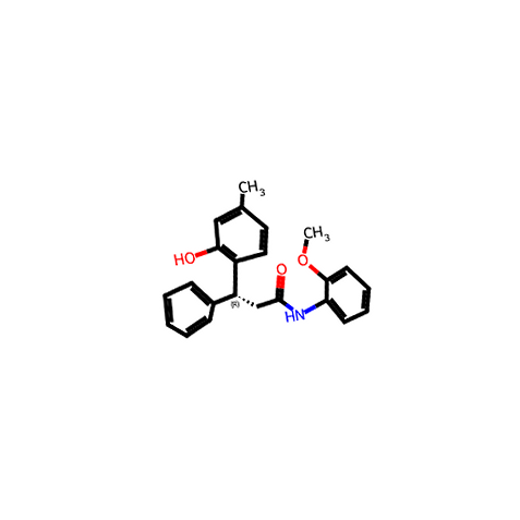 COc1ccccc1NC(=O)C[C@H](c1ccccc1)c1ccc(C)cc1O